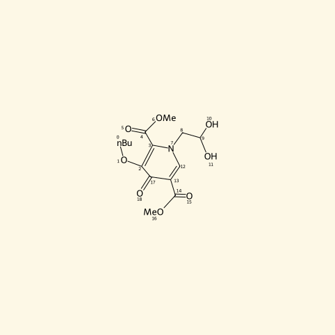 CCCCOc1c(C(=O)OC)n(CC(O)O)cc(C(=O)OC)c1=O